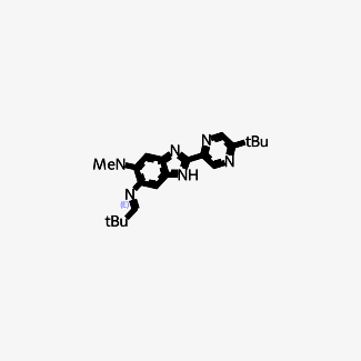 CNc1cc2nc(-c3cnc(C(C)(C)C)cn3)[nH]c2cc1/N=C/C(C)(C)C